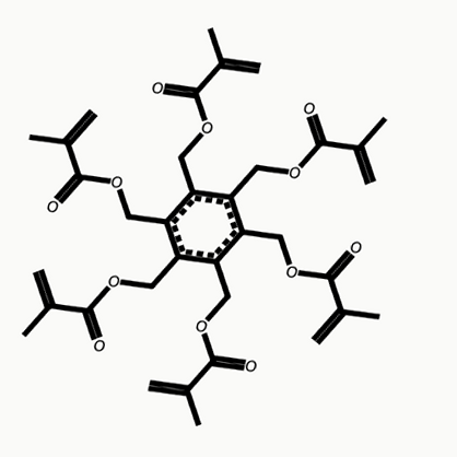 C=C(C)C(=O)OCc1c(COC(=O)C(=C)C)c(COC(=O)C(=C)C)c(COC(=O)C(=C)C)c(COC(=O)C(=C)C)c1COC(=O)C(=C)C